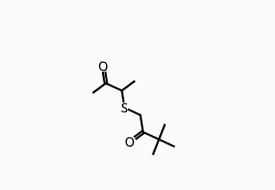 CC(=O)C(C)SCC(=O)C(C)(C)C